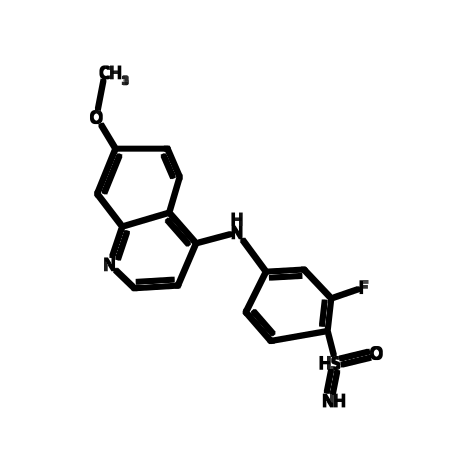 COc1ccc2c(Nc3ccc([SH](=N)=O)c(F)c3)ccnc2c1